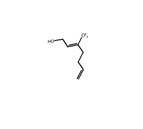 C=CCC/C(=C/CO)C(F)(F)F